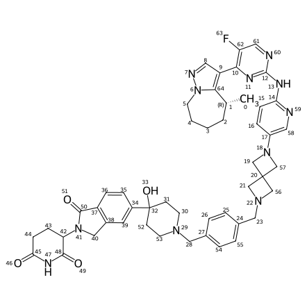 C[C@@H]1CCCCn2ncc(-c3nc(Nc4ccc(N5CC6(CN(Cc7ccc(CN8CCC(O)(c9ccc%10c(c9)CN(C9CCC(=O)NC9=O)C%10=O)CC8)cc7)C6)C5)cn4)ncc3F)c21